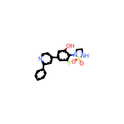 O=S1(=O)NCCN1c1c(O)cc(-c2ccnc(-c3ccccc3)c2)cc1F